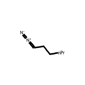 CCCCCC=[N+]=[N-]